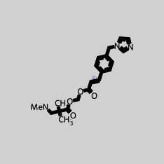 CNCC(C)(C)C(=O)OCOC(=O)/C=C/c1ccc(Cn2ccnc2)cc1